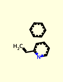 C=Cc1ccccn1.c1ccccc1